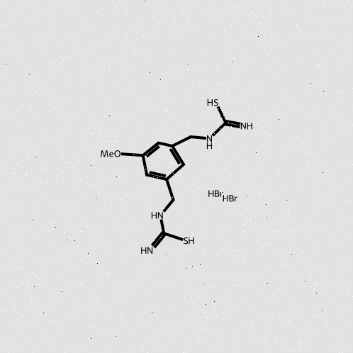 Br.Br.COc1cc(CNC(=N)S)cc(CNC(=N)S)c1